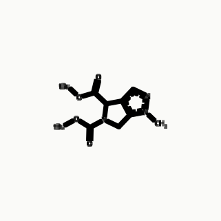 Cn1ncc2c1CN(C(=O)OC(C)(C)C)C2C(=O)OC(C)(C)C